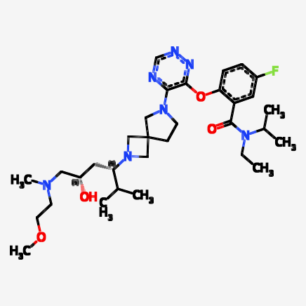 CCN(C(=O)c1cc(F)ccc1Oc1nncnc1N1CCC2(C1)CN([C@@H](C[C@H](O)CN(C)CCOC)C(C)C)C2)C(C)C